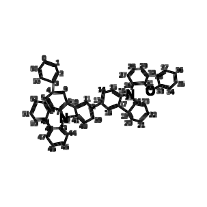 c1ccc(-c2ccc3c(c2)c2cc(-c4ccc5c(c4)c4ccccc4n5-c4cccc5c4oc4ccccc45)ccc2n3-c2ccccc2-c2ccccc2)cc1